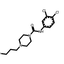 CC(C)CCCN1CCN(C(=O)Nc2ccc(Cl)c(Cl)c2)CC1